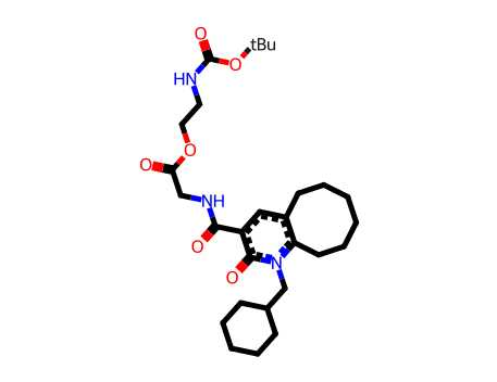 CC(C)(C)OC(=O)NCCOC(=O)CNC(=O)c1cc2c(n(CC3CCCCC3)c1=O)CCCCCC2